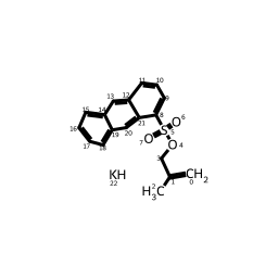 C=C(C)COS(=O)(=O)c1cccc2cc3ccccc3cc12.[KH]